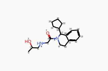 CC(O)CNCC(=O)N1CCc2ccccc2C1C1CCCC1